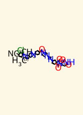 Cc1c(N2CC3(CCN(c4ccc(C(=O)N5CCN(C6CN(c7ccc8c(c7)C(=O)N(C7CCC(=O)NC7=O)C8=O)C6)CC5)cc4)CC3)C[C@@H]2C)ccc(C#N)c1Cl